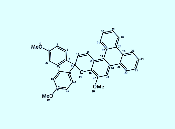 COc1ccc(C2(c3ccc(OC)cc3)C=Cc3c(c(OC)cc4c5ccccc5c5ccccc5c34)O2)cc1